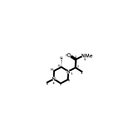 CNC(=O)C(C)N1CCN(C)C[C@@H]1C